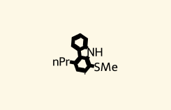 CCCc1c[c]c(SC)c2[nH]c3ccccc3c12